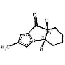 Cc1cc2n(c1)[C@H]1CCCC[C@H]1C2=O